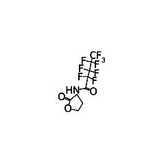 O=C1OCCC1NC(=O)C(F)(F)C(F)(F)C(F)(F)C(F)(F)F